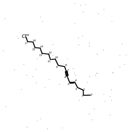 CCCCC=CC#CCCCCCCCCCCCl